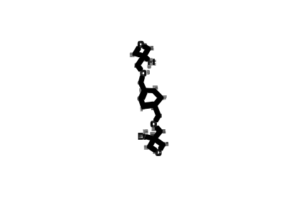 CCC1(COCC2=CC=C(COCC3(CC)COC3)CC2)COC1